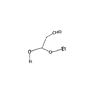 CCOC(CC=O)OCC